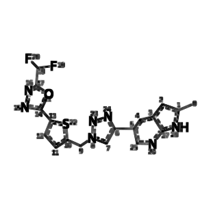 Cc1cc2cc(-c3cn(Cc4ccc(-c5nnc(C(F)F)o5)s4)nn3)cnc2[nH]1